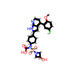 COc1ccc(F)cc1-c1ccnc2[nH]c(C3=CCC(N(C(=O)O)S(=O)(=O)N4CC(O)C4)CC3)cc12